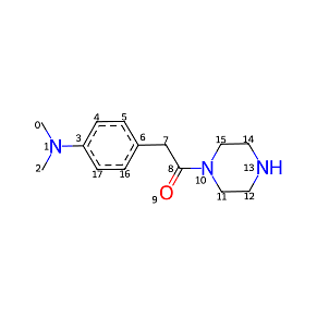 CN(C)c1ccc(CC(=O)N2CCNCC2)cc1